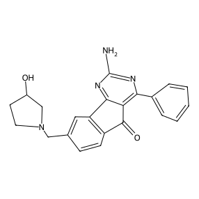 Nc1nc(-c2ccccc2)c2c(n1)-c1cc(CN3CCC(O)C3)ccc1C2=O